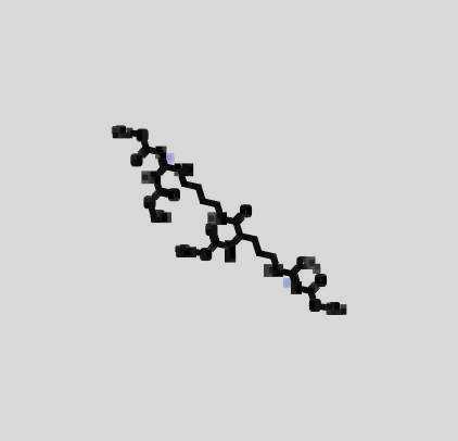 C/C(=N\C(=O)OC(C)(C)C)NCCCC(NC(=O)OC(C)(C)C)C(=O)NCCCCN/C(=N/C(=O)OC(C)(C)C)NC(=O)OC(C)(C)C